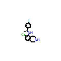 C[C@H](Nc1c(Cl)ccc2c1CCNCC2)c1ccc(F)cc1